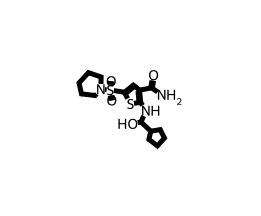 NC(=O)c1cc(S(=O)(=O)N2CCCCC2)sc1NC(O)C1CCCC1